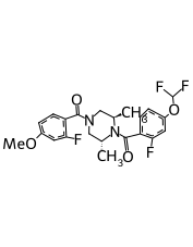 COc1ccc(C(=O)N2C[C@@H](C)N(C(=O)c3ccc(OC(F)F)cc3F)[C@H](C)C2)c(F)c1